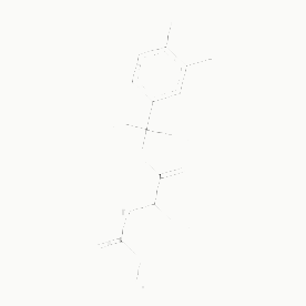 CC(NC(=O)OC(C)(C)C)C(=O)OC(C)(C)c1ccc(C(=O)O)c(F)c1